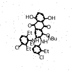 CCCCOc1c(Nc2c(CC)ccc(Cl)c2CC)c(Nc2c(CC)ccc(Cl)c2CC)cc2c1C(=O)c1c(O)ccc(O)c1C2=O